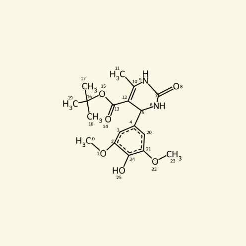 COc1cc(C2NC(=O)NC(C)=C2C(=O)OC(C)(C)C)cc(OC)c1O